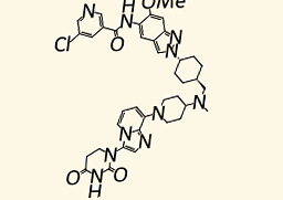 COc1cc2nn([C@H]3CC[C@H](CN(C)C4CCN(c5cccn6c(N7CCC(=O)NC7=O)cnc56)CC4)CC3)cc2cc1NC(=O)c1cncc(Cl)c1